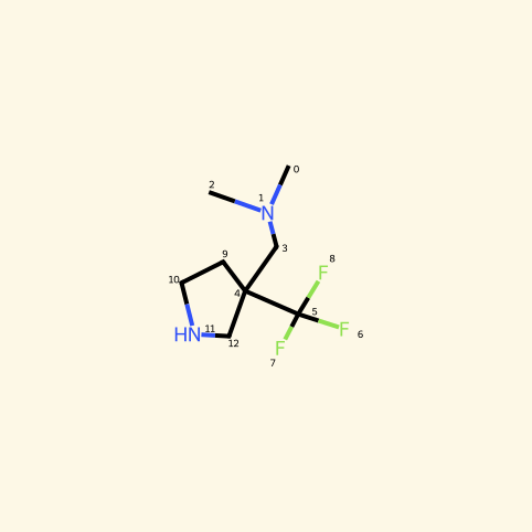 CN(C)CC1(C(F)(F)F)CCNC1